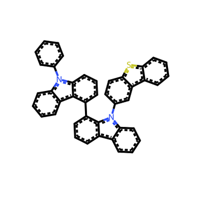 c1ccc(-n2c3ccccc3c3c(-c4cccc5c6ccccc6n(-c6ccc7sc8ccccc8c7c6)c45)cccc32)cc1